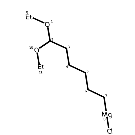 CCOC(CCCC[CH2][Mg][Cl])OCC